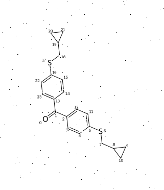 O=C(c1ccc(SCC2CC2)cc1)c1ccc(SCC2CC2)cc1